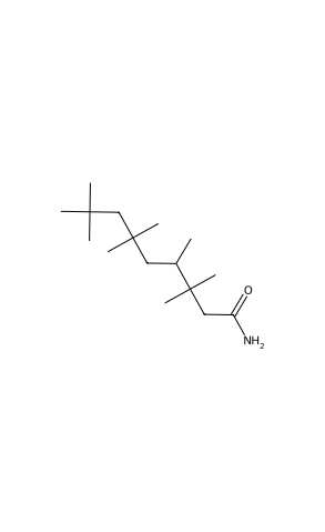 CC(CC(C)(C)CC(C)(C)C)C(C)(C)CC(N)=O